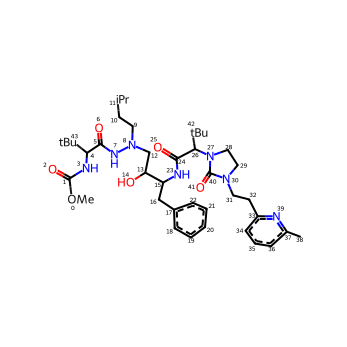 COC(=O)NC(C(=O)NN(CCC(C)C)CC(O)C(Cc1ccccc1)NC(=O)C(N1CCN(CCc2cccc(C)n2)C1=O)C(C)(C)C)C(C)(C)C